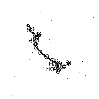 Cc1ncsc1-c1ccc(CNC(=O)[C@H]2C[C@H](O)CN2C(=O)[C@H](NC(=O)COCCCOCCCCOCCCOc2ccc(Nc3ncc(Br)c(NCCCN(C)C(=O)C4CCC4)n3)cc2)C(C)(C)C)cc1